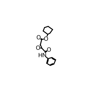 O=C(Nc1ccccc1)C1OC1C(=O)OC1CCCCC1